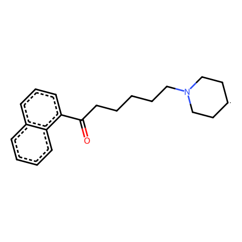 O=C(CCCCCN1CC[CH]CC1)c1cccc2ccccc12